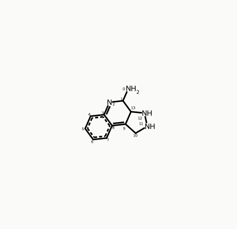 NC1N=c2ccccc2=C2CNNC21